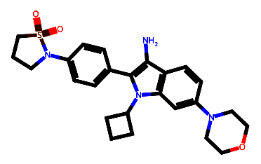 Nc1c(-c2ccc(N3CCCS3(=O)=O)cc2)n(C2CCC2)c2cc(N3CCOCC3)ccc12